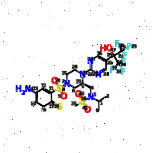 CC(C)N(C[C@H]1CN(S(=O)(=O)C2=CC(N)=CCC2=S)CCN1c1ncc(C(O)(C(F)(F)F)C(F)(F)F)cn1)S(C)(=O)=O